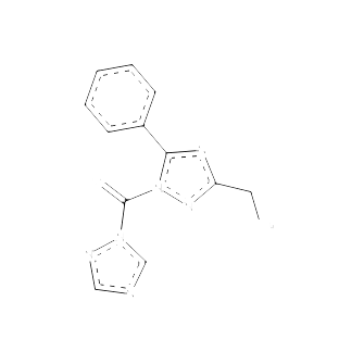 CC(C)(C)Cc1nc(-c2ccccc2)n(C(=O)n2cncn2)n1